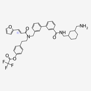 NCC1CCCC(CNC(=O)c2cccc(-c3cccc(CN(CCc4ccc(OC(=O)C(F)(F)F)cc4)C(=O)/C=C/c4ccco4)c3)c2)C1